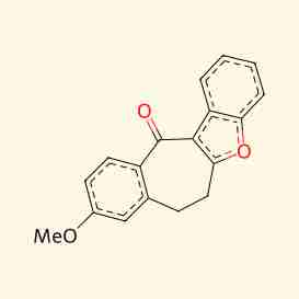 COc1ccc2c(c1)CCc1oc3ccccc3c1C2=O